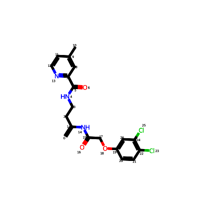 C=C(CCNC(=O)c1cc(C)ccn1)NC(=O)COc1ccc(Cl)c(Cl)c1